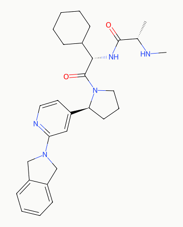 CN[C@@H](C)C(=O)N[C@H](C(=O)N1CCC[C@H]1c1ccnc(N2Cc3ccccc3C2)c1)C1CCCCC1